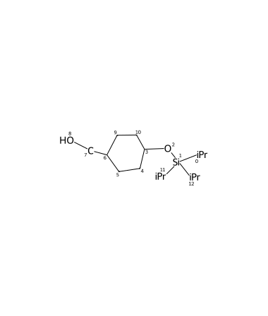 CC(C)[Si](OC1CCC(CO)CC1)(C(C)C)C(C)C